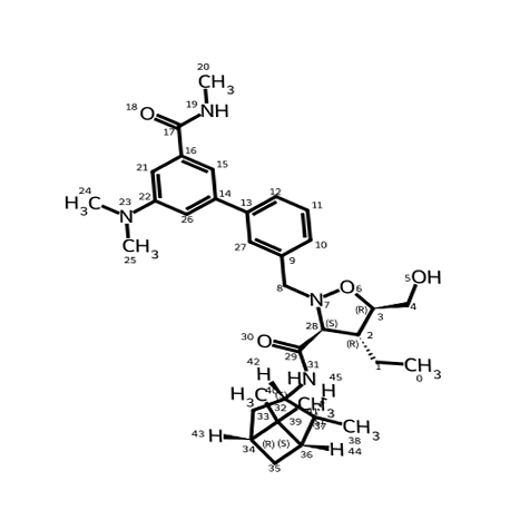 CC[C@H]1[C@H](CO)ON(Cc2cccc(-c3cc(C(=O)NC)cc(N(C)C)c3)c2)[C@@H]1C(=O)N[C@H]1C[C@H]2C[C@@H]([C@@H]1C)C2(C)C